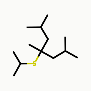 CC(C)CC(C)(CC(C)C)SC(C)C